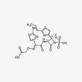 CCCc1nc([C@]2(C)[C@H](NC(=O)/C(=N/OCC(=O)O)c3csc(N)n3)C(=O)N2S(=O)(=O)O)cs1